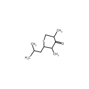 CC(C)CC1CCC(C)C(=O)C1C